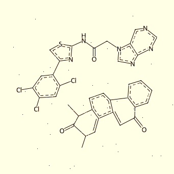 CC1C=c2c(ccc3c2=CC(=O)c2ccccc2-3)C(C)C1=O.O=C(Cn1cnc2ncncc21)Nc1nc(-c2cc(Cl)c(Cl)cc2Cl)cs1